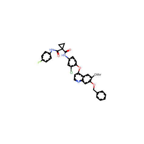 COc1cc2c(Oc3ccc(NC(=O)C4(C(=O)Nc5ccc(F)cc5)CC4)cc3Cl)ccnc2cc1OCc1ccccc1